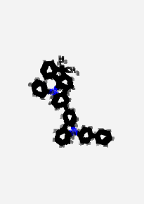 CC1(C)c2ccccc2-c2c1ccc1c3cc(-c4ccc5c(c4)c4ccccc4n5-c4ccc(-c5ccccc5)cc4)ccc3n(-c3ccccc3)c21